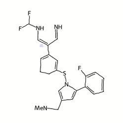 CNCc1cc(-c2ccccc2F)n(SC2=CC(/C(C=N)=C/NC(F)F)=CCC2)c1